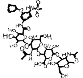 CC(=O)NC1C(C)OC(CO)C(O)C1OC1OC(C(=O)O)C(OC2OC(CO)C(O)C(OC3OC(C(=O)Nc4ccc(NS(C)(=O)=O)c(Oc5ccccc5)c4)C(O)C(O)C3O)C2NC(C)=O)C(O)C1O